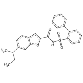 CCC(C)c1ccc2cc(C(=O)NS(=O)(=O)c3ccccc3-c3ccccc3)oc2c1